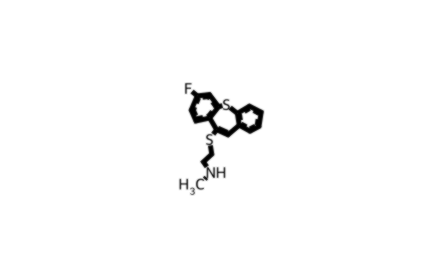 CNCCSC1=Cc2ccccc2Sc2cc(F)ccc21